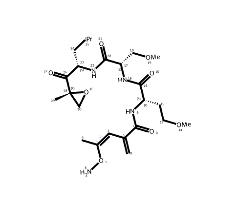 C=C(/C=C(/C)ON)C(=O)N[C@@H](CCOC)C(=O)N[C@@H](COC)C(=O)N[C@@H](CC(C)C)C(=O)[C@@]1(C)CO1